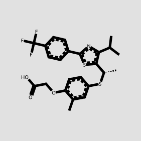 Cc1cc(S[C@@H](C)c2sc(-c3ccc(C(F)(F)F)cc3)nc2C(C)C)ccc1OCC(=O)O